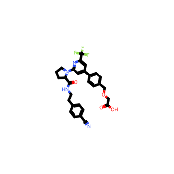 N#Cc1ccc(CCNC(=O)C2CCCN2c2cc(-c3ccc(COCC(=O)O)cc3)cc(C(F)(F)F)n2)cc1